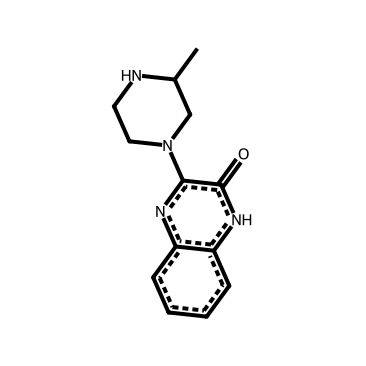 CC1CN(c2nc3ccccc3[nH]c2=O)CCN1